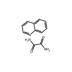 NC(=O)C(N)=O.c1ccc2ncccc2c1